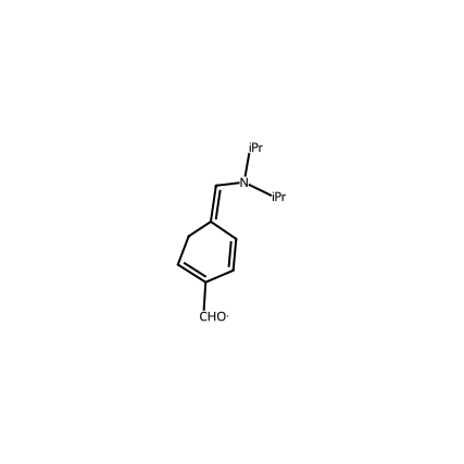 CC(C)N(C=C1C=CC([C]=O)=CC1)C(C)C